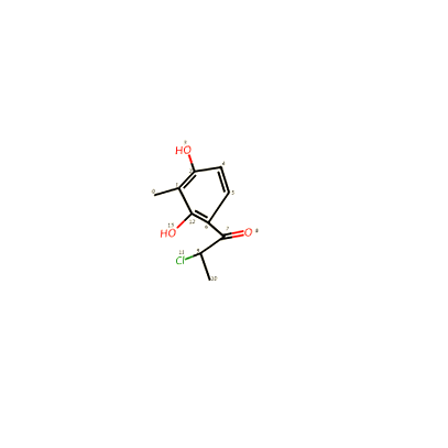 Cc1c(O)ccc(C(=O)C(C)Cl)c1O